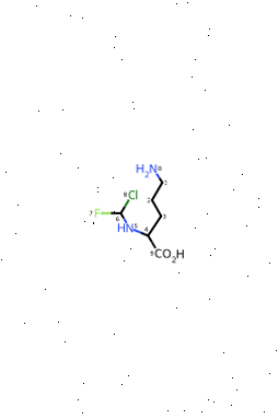 NCCCC(NC(F)Cl)C(=O)O